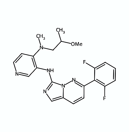 COC(C)CN(C)c1ccncc1Nc1ncc2ccc(-c3c(F)cccc3F)nn12